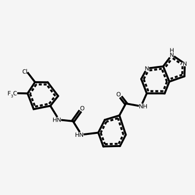 O=C(Nc1cccc(C(=O)Nc2cnc3[nH]ncc3c2)c1)Nc1ccc(Cl)c(C(F)(F)F)c1